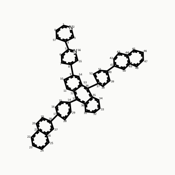 c1cncc(-c2ccc(-c3ccc4c(-c5ccc(-c6ccc7ccccc7c6)cc5)c5ccccc5c(-c5ccc(-c6ccc7ccccc7c6)cc5)c4c3)cn2)c1